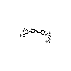 CCN(CCO)c1ccc(C=Cc2ccc(OS(=O)(=O)OCCO)cc2)cc1